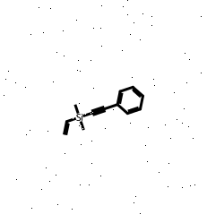 C=C[Si](C)(C)C#Cc1ccccc1